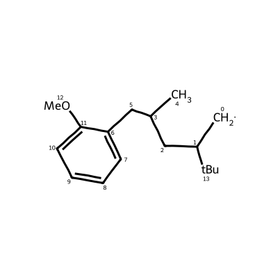 [CH2]C(CC(C)Cc1ccccc1OC)C(C)(C)C